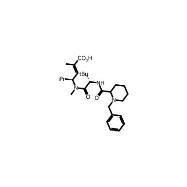 C/C(=C\[C@H](C(C)C)N(C)C(=O)[C@@H](NC(=O)C1CCCCN1Cc1ccccc1)C(C)(C)C)C(=O)O